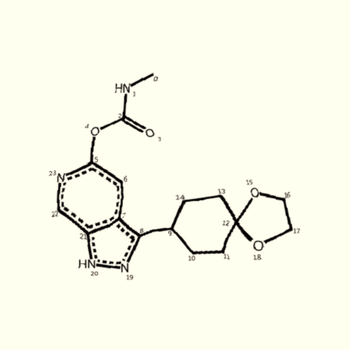 CNC(=O)Oc1cc2c(C3CCC4(CC3)OCCO4)n[nH]c2cn1